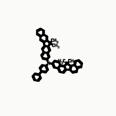 CC1(C)c2cc3ccccc3cc2-c2cc3ccc(N(c4ccc(-c5ccccc5)cc4)c4ccc5c6c(ccc5c4)-c4ccc5ccccc5c4C6(C)C)cc3cc21